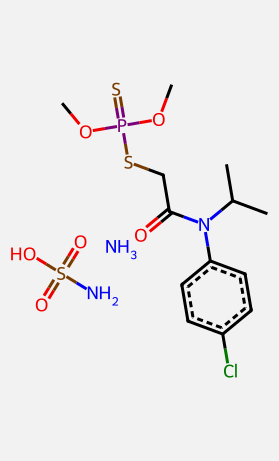 COP(=S)(OC)SCC(=O)N(c1ccc(Cl)cc1)C(C)C.N.NS(=O)(=O)O